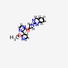 COc1ncccc1-c1nccnc1OC1CN(c2ncc3ccccc3n2)C1